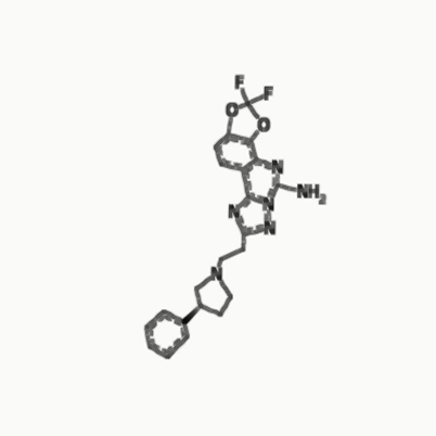 Nc1nc2c3c(ccc2c2nc(CCN4CC[C@@H](c5ccccc5)C4)nn12)OC(F)(F)O3